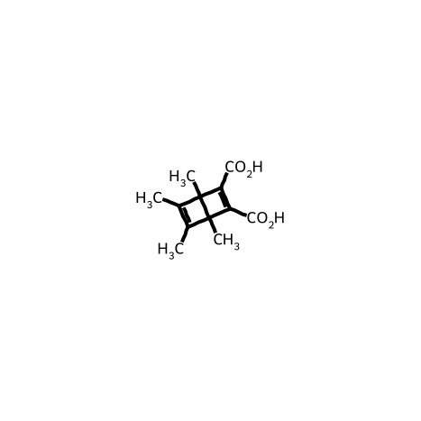 CC1=C(C)C2(C)C(C(=O)O)=C(C(=O)O)C12C